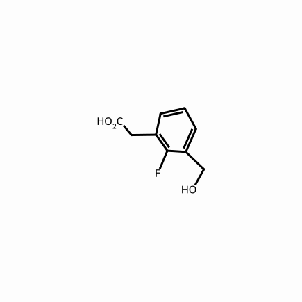 O=C(O)Cc1cccc(CO)c1F